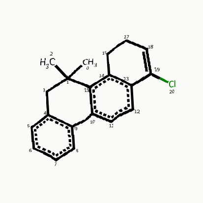 CC1(C)Cc2ccccc2-c2ccc3c(c21)CCC=C3Cl